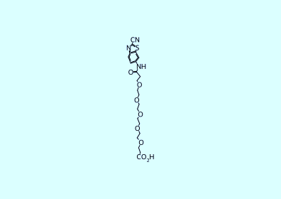 N#Cc1nc2ccc(NC(=O)CCOCCOCCOCCOCCOCCC(=O)O)cc2s1